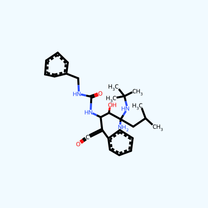 CC(C)CC(N)(NC(C)(C)C)C(O)C(NC(=O)NCc1ccccc1)C(=C=O)c1ccccc1